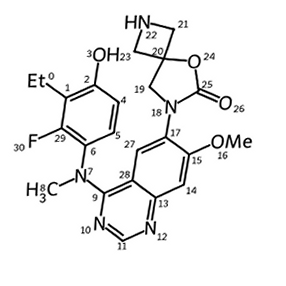 CCc1c(O)ccc(N(C)c2ncnc3cc(OC)c(N4CC5(CNC5)OC4=O)cc23)c1F